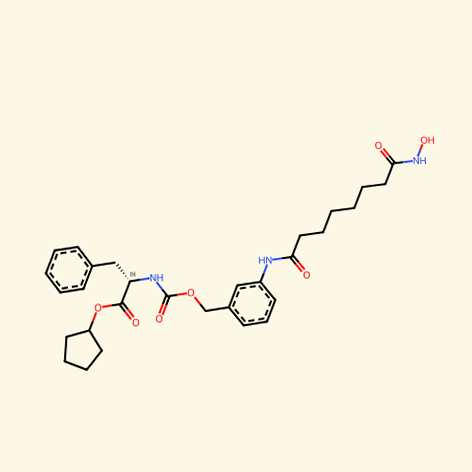 O=C(CCCCCCC(=O)Nc1cccc(COC(=O)N[C@@H](Cc2ccccc2)C(=O)OC2CCCC2)c1)NO